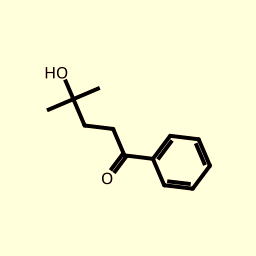 CC(C)(O)CCC(=O)c1ccccc1